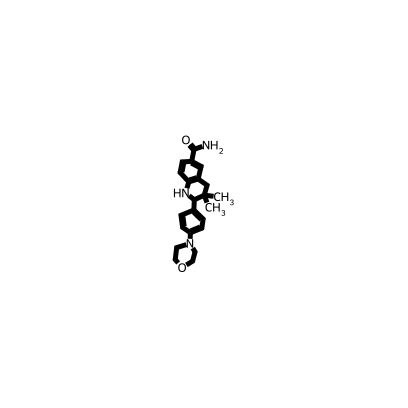 CC1(C)Cc2cc(C(N)=O)ccc2NC1c1ccc(N2CCOCC2)cc1